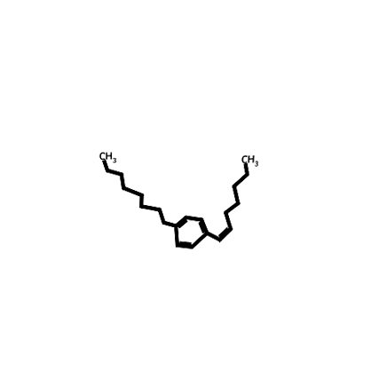 CCCCC/C=[C]\c1ccc(CCCCCCCC)cc1